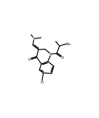 CCC(C)C(C)C(=O)N1CC(=CN(C)C)C(=O)c2cc(Cl)ccc21